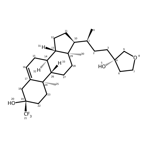 C[C@@H](CC[C@]1(O)CCOC1)[C@@H]1CC[C@H]2[C@@H]3CC=C4C[C@](O)(C(F)(F)F)CC[C@]4(C)[C@H]3CC[C@@]21C